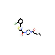 C=CC(=O)N1CCN(C(=O)c2csc(-c3ccccc3Cl)n2)CC1